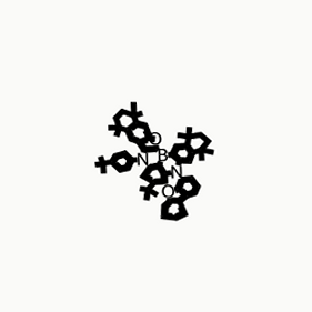 CC(C)(C)c1ccc(N2c3cc(C(C)(C)C)cc4c3B(c3cc5c(cc3N4c3cccc4c3oc3ccccc34)C(C)(C)CCC5(C)C)c3oc4cc5c(cc4c32)C(C)(C)CCC5(C)C)cc1